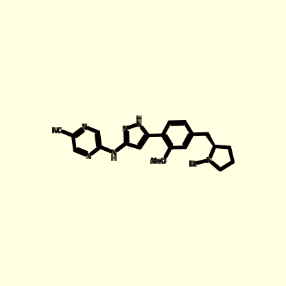 CCN1CCC[C@@H]1Cc1ccc(-c2cc(Nc3cnc(C#N)cn3)n[nH]2)c(OC)c1